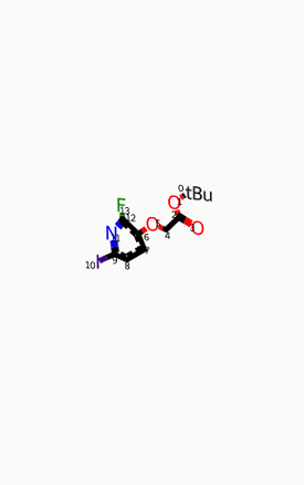 CC(C)(C)OC(=O)COc1ccc(I)nc1F